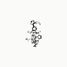 Cc1cc(-c2scnc2C)ccc1NC(=O)[C@@H]1CCCN1C(O)[C@@H](NC(=O)C1(F)CC1)C(C)(C)C